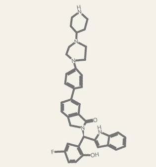 O=C1c2cc(-c3ccc(N4CCN(C5CCNCC5)CC4)cc3)ccc2CN1[C@@H](c1cc2ccccc2[nH]1)c1cc(F)ccc1O